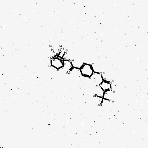 C[C@H]1[C@H](NC(=O)c2ccc(Oc3nnc(C(F)(F)F)s3)cc2)C2CCN1CC2